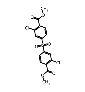 COC(=O)c1ccc(S(=O)(=O)c2ccc(C(=O)OC)c(Cl)c2)cc1Cl